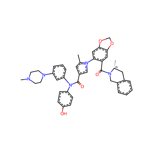 Cc1cc(C(=O)N(c2ccc(O)cc2)c2cccc(N3CCN(C)CC3)c2)cn1-c1cc2c(cc1C(=O)N1Cc3ccccc3C[C@H]1C)OCO2